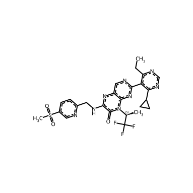 CCc1ncnc(C2CC2)c1-c1ncc2nc(NCc3ccc(S(C)(=O)=O)cn3)c(=O)n([C@@H](C)C(F)(F)F)c2n1